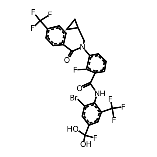 O=C(Nc1c(Br)cc(C(O)(O)F)cc1C(F)(F)F)c1cccc(N(CC2CC2)C(=O)c2ccc(C(F)(F)F)cc2)c1F